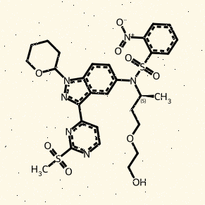 C[C@@H](CCOCCO)N(c1ccc2c(c1)c(-c1ccnc(S(C)(=O)=O)n1)nn2C1CCCCO1)S(=O)(=O)c1ccccc1[N+](=O)[O-]